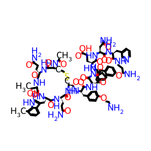 CC(=O)N[C@H]1CCSC[C@@H](C(=O)N[C@@H](Cc2ccc(OCCN)cc2)C(=O)N[C@@H](Cc2ccc3ccccc3c2)C(=O)NC2(C(=O)N[C@@H](CCC(=O)O)C(=O)N[C@@H](CC(N)=O)C(=O)N[C@@H](Cc3cccnc3)C(=O)NCCC(N)=O)CCOCC2)NC(=O)[C@H](CCC(N)=O)NC(=O)[C@H](Cc2c[nH]c3c(C)cccc23)NC(=O)[C@H]([C@@H](C)O)NC(=O)[C@H](CCC(N)=O)NC1=O